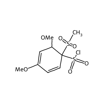 COC1=CC(OC)C(S(C)(=O)=O)(S(=O)(=O)Cl)C=C1